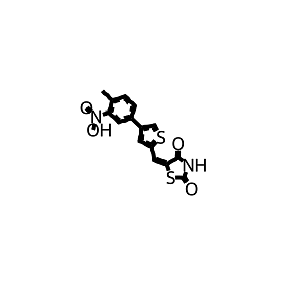 Cc1ccc(-c2csc(/C=C3/SC(=O)NC3=O)c2)cc1[N+](=O)O